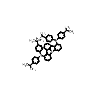 CC(C)c1ccc(N(c2ccc(C(C)C)cc2)c2cccc3c2c2cccc4c5c(N(c6ccc(C(C)C)cc6)c6ccc(C(C)C)cc6)cccc5n3c24)cc1